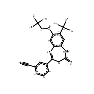 N#Cc1cc(C2=Nc3cc(OCC(F)(F)F)c(C(F)(F)F)cc3NC(=O)C2)ccn1